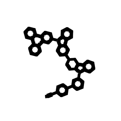 N#Cc1ccc(-c2cccc(-n3c4c(c5ccccc53)CC(c3ccc5c(c3)c3ccccc3n5-c3ccc5c6ccccc6c6ccccc6c5c3)C=C4)c2)cc1